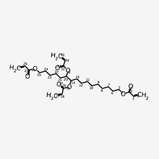 C=CC(=O)OCCCCCCCCCC(OC(=O)C=C)C(CCCCCOC(=O)C=C)OC(=O)C=C